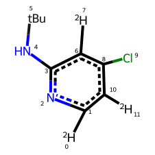 [2H]c1nc(NC(C)(C)C)c([2H])c(Cl)c1[2H]